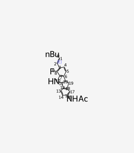 CCCC/C=C/c1ccc2c(c1F)NC1c3ccc(NC(C)=O)cc3CC21